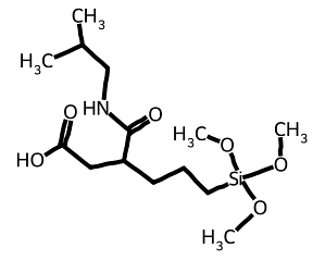 CO[Si](CCCC(CC(=O)O)C(=O)NCC(C)C)(OC)OC